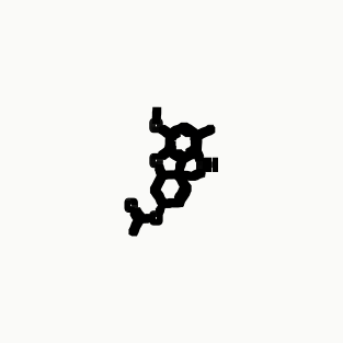 COc1cc(C)c2c3c1OC1C[C@H](OC(C)=O)C=CC31CCN2